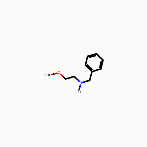 CCN(CCOC=O)Cc1ccccc1